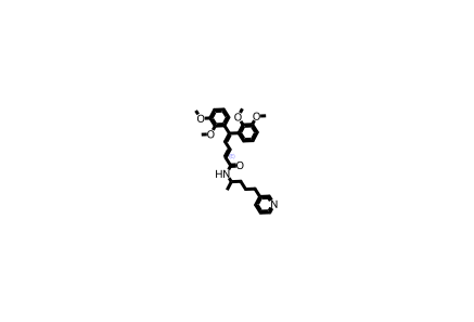 COc1cccc(C(=C/C=C/C(=O)NC(C)CCCc2cccnc2)c2cccc(OC)c2OC)c1OC